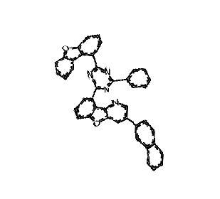 c1ccc(-c2nc(-c3cccc4oc5ccccc5c34)nc(-c3cccc4oc5cc(-c6ccc7ccccc7c6)cnc5c34)n2)cc1